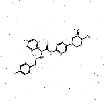 CN1CCN(c2ccc(NC(=O)[C@H](NCCc3ccc(Cl)cc3)c3ccccc3)nc2)CC1=O